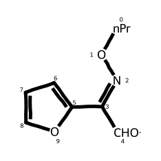 CCCO/N=C(/[C]=O)c1ccco1